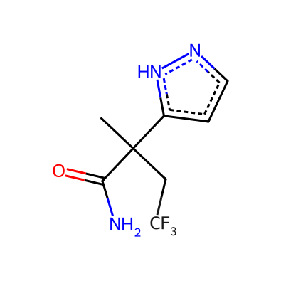 CC(CC(F)(F)F)(C(N)=O)c1ccn[nH]1